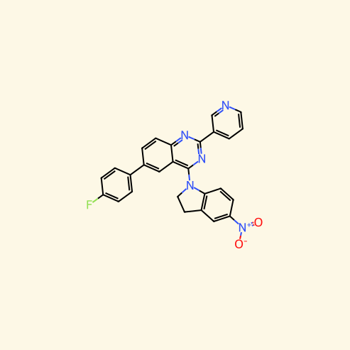 O=[N+]([O-])c1ccc2c(c1)CCN2c1nc(-c2cccnc2)nc2ccc(-c3ccc(F)cc3)cc12